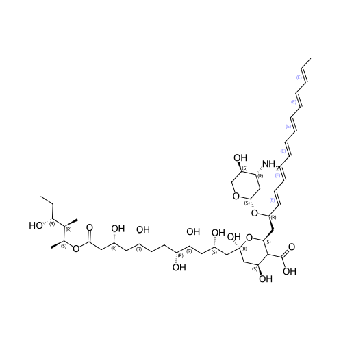 C/C=C/C=C/C=C/C=C/C=C/C=C/[C@@H](C[C@@H]1O[C@](O)(C[C@@H](O)C[C@@H](O)[C@H](O)CC[C@@H](O)C[C@@H](O)CC(=O)O[C@@H](C)[C@H](C)[C@H](O)CC)C[C@H](O)C1C(=O)O)O[C@H]1C[C@@H](N)[C@H](O)CO1